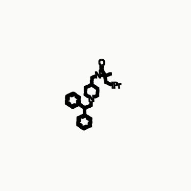 CC(C)CC1(C)C(=O)N1CC1CCN(CC(c2ccccc2)c2ccccc2)CC1